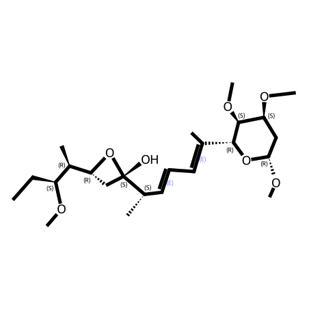 CC[C@H](OC)[C@@H](C)[C@H]1C[C@@](O)([C@@H](C)/C=C/C=C(\C)[C@H]2O[C@@H](OC)C[C@H](OC)[C@@H]2OC)O1